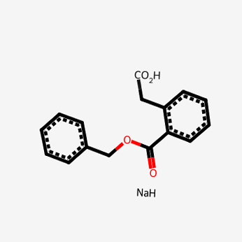 O=C(O)Cc1ccccc1C(=O)OCc1ccccc1.[NaH]